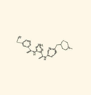 C=C(Nc1c[nH]nc1C(=C)Nc1ccc(CC2CCN(C)CC2)nc1)c1cncc(CC(C)C)c1